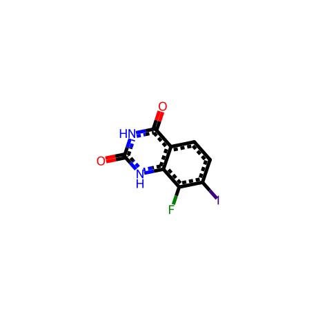 O=c1[nH]c(=O)c2ccc(I)c(F)c2[nH]1